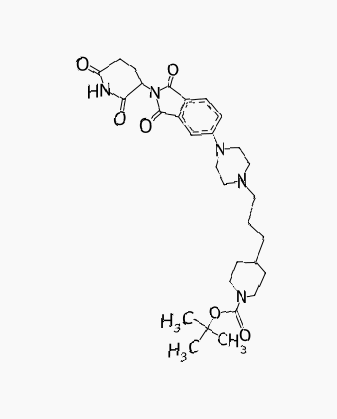 CC(C)(C)OC(=O)N1CCC(CCCN2CCN(c3ccc4c(c3)C(=O)N(C3CCC(=O)NC3=O)C4=O)CC2)CC1